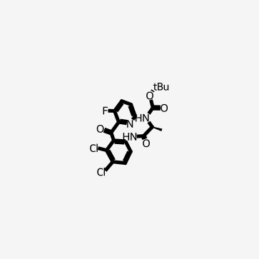 C[C@H](NC(=O)OC(C)(C)C)C(=O)Nc1ccc(Cl)c(Cl)c1C(=O)c1ncccc1F